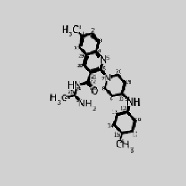 Cc1ccc2nc(N3CCC(NC4CCC(C)CC4)CC3)c(C(=O)NC(C)N)cc2c1